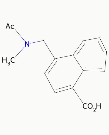 CC(=O)N(C)Cc1ccc(C(=O)O)c2ccccc12